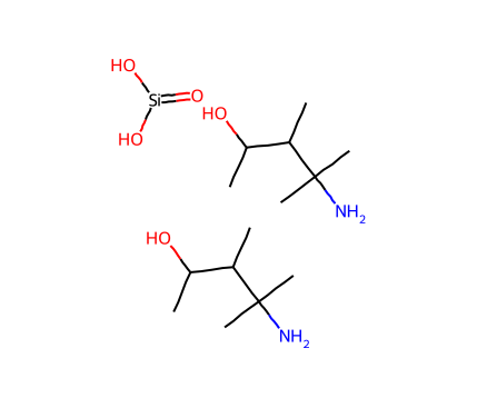 CC(O)C(C)C(C)(C)N.CC(O)C(C)C(C)(C)N.O=[Si](O)O